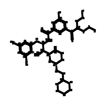 CCCN(CCC)C(=O)c1cc(C)cc(C(=O)N[C@@H](Cc2cc(F)cc(F)c2)[C@H](O)[C@H]2C[C@@H](CCC3CCCCC3)CCN2)c1